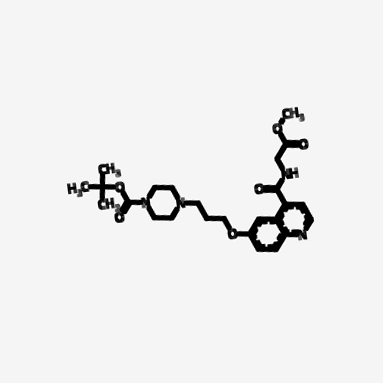 COC(=O)CNC(=O)c1ccnc2ccc(OCCCN3CCN(C(=O)OC(C)(C)C)CC3)cc12